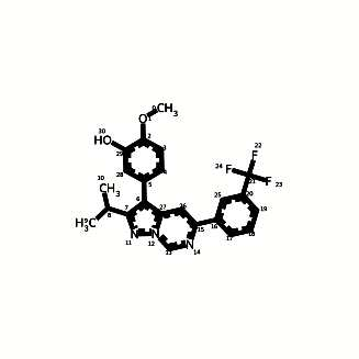 COc1ccc(-c2c(C(C)C)nn3cnc(-c4cccc(C(F)(F)F)c4)cc23)cc1O